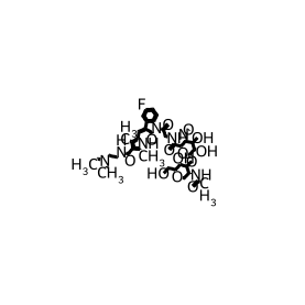 CCN(CC)CCNC(=O)c1c(C)[nH]c(/C=C2\C(=O)N(C(=O)CNC(=O)C3OC(OC4C(O)C(CO)OC[C@H]4NC(C)=O)C(O)C(O)C3N=O)c3ccc(F)cc32)c1C